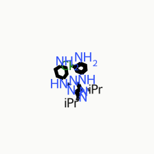 CC(C)c1nn(C(C)C)c2c(Nc3ccc(N)c(Cl)c3)nc(NC3CCC(N)CC3)nc12